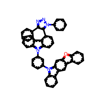 c1ccc(-c2nnn(-c3ccccc3)c2-c2cccc3c2c2ccccc2n3-c2cccc(-n3c4ccccc4c4cc5c(cc43)oc3ccccc35)c2)cc1